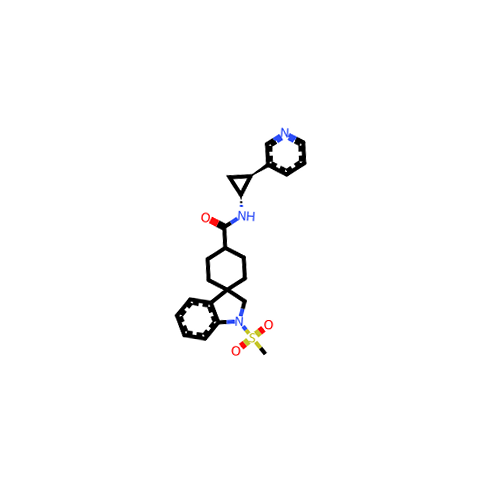 CS(=O)(=O)N1CC2(CCC(C(=O)N[C@@H]3C[C@H]3c3cccnc3)CC2)c2ccccc21